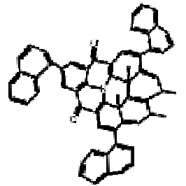 CC1C=C2C(c3cccc4ccccc34)=Cc3c4n5c6c(c(=O)c7cc(-c8cccc9ccccc89)cc(c3=O)c75)C=C(c3cccc5ccccc35)C3=CC(C)C1=C(C24C)C36C